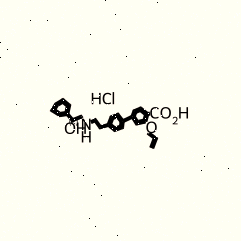 C=CCOc1cc(-c2ccc(CCNC[C@H](O)c3ccccc3)cc2)ccc1C(=O)O.Cl